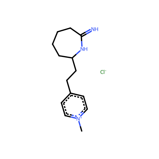 C[n+]1ccc(CCC2CCCCC(=N)N2)cc1.[Cl-]